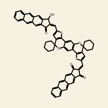 O=C1C(=Cc2cc3c(s2)-c2cc4c(cc2OC32CCCCC2)-c2sc(/C=C3\C(=O)c5cc6cc7ccccc7cc6cc5C3O)cc2C2(CCCCC2)O4)C(=O)c2cc3cc4ccccc4cc3cc21